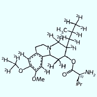 [2H]c1c2c(c([2H])c(OC)c1OC([2H])([2H])[2H])C1N(CC2)C([2H])([2H])C([2H])(C([2H])([2H])C([2H])(C)C([2H])([2H])[2H])C(OC(=O)[C@@H](N)C(C)C)C1([2H])[2H]